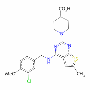 COc1ccc(CNc2nc(N3CCC(C(=O)O)CC3)nc3sc(C)cc23)cc1Cl